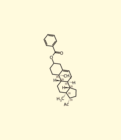 CC(=O)[C@H]1CC[C@H]2[C@@H]3CC=C4CC(OC(=O)c5ccccc5)CC[C@]4(C)[C@H]3CC[C@]12C